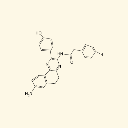 Nc1ccc2c(c1)CCc1nc(NC(=O)Cc3ccc(I)cc3)c(-c3ccc(O)cc3)nc1-2